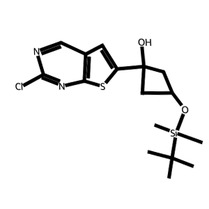 CC(C)(C)[Si](C)(C)OC1CC(O)(c2cc3cnc(Cl)nc3s2)C1